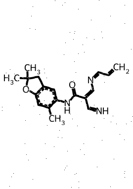 C=C/C=N\C=C(\C=N)C(=O)Nc1cc2c(cc1C)OC(C)(C)C2